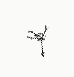 CC(C)(C)OC(=O)CCCCCCCCCCC(=O)NC(CCC(=O)NCCCCN=[N+]=[N-])(CCC(=O)NCCCCN=[N+]=[N-])CCC(=O)NCCCCN=[N+]=[N-]